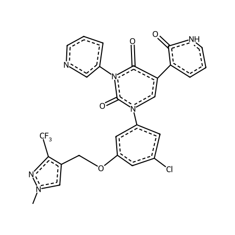 Cn1cc(COc2cc(Cl)cc(-n3cc(-c4ccc[nH]c4=O)c(=O)n(-c4cccnc4)c3=O)c2)c(C(F)(F)F)n1